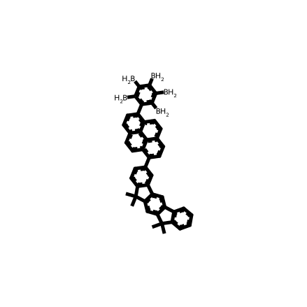 Bc1c(B)c(B)c(-c2ccc3ccc4c(-c5ccc6c(c5)-c5cc7c(cc5C6(C)C)C(C)(C)c5ccccc5-7)ccc5ccc2c3c54)c(B)c1B